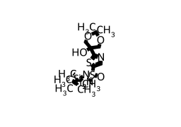 CC1(C)OCC(O)(c2ncc(S(N)(=O)=N[Si](C)(C)C(C)(C)C)s2)CO1